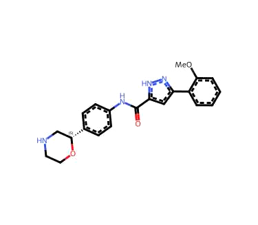 COc1ccccc1-c1cc(C(=O)Nc2ccc([C@H]3CNCCO3)cc2)[nH]n1